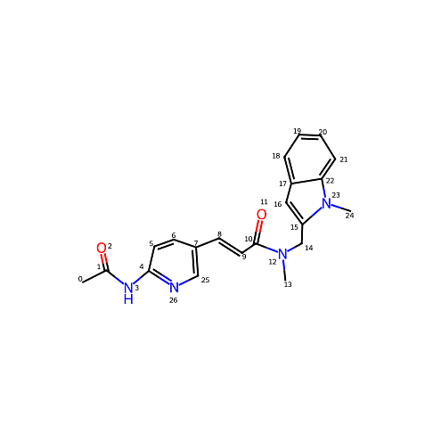 CC(=O)Nc1ccc(/C=C/C(=O)N(C)Cc2cc3ccccc3n2C)cn1